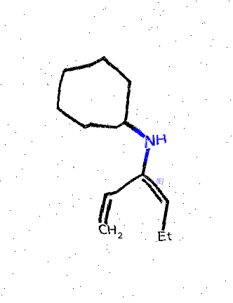 C=C/C(=C\CC)NC1CCCCC1